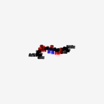 CC(=O)N[C@@H](CCOP(=O)(O)CCCNC(=O)NCCOP(=O)(O)OCC[C@H](NC(C)=O)C(C)OC(C)=O)C(C)OC(C)=O